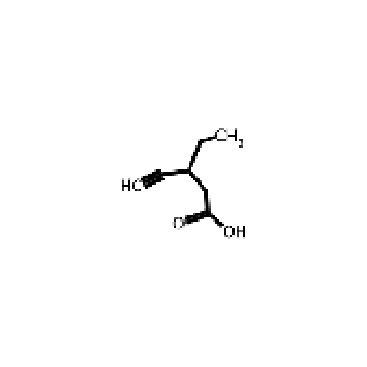 C#CC(CC)CC(=O)O